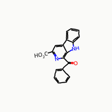 O=C(O)c1cc2c([nH]c3ccccc32)c(C(=O)c2ccccc2)n1